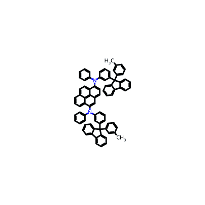 Cc1cccc(C2(c3cccc(N(c4ccccc4)c4cc5ccc(N(c6ccccc6)c6cccc(C7(c8cccc(C)c8)c8ccccc8-c8ccccc87)c6)c6ccc7cccc4c7c56)c3)c3ccccc3-c3ccccc32)c1